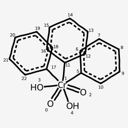 [O]=[Cr](=[O])([OH])([OH])([c]1ccccc1)([c]1ccccc1)[c]1ccccc1